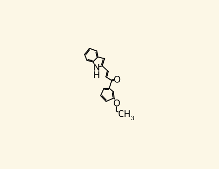 CCOc1cccc(C(=O)C=Cc2cc3ccccc3[nH]2)c1